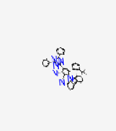 CC1(C)c2ccccc2-c2c1ccc1c3ccccc3n(-c3ccc(-c4nc(-c5ccccc5)nc(-c5ccccc5)n4)c(C#N)c3C#N)c21